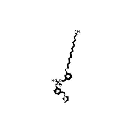 CCCCCCCCCCCCCCOc1cccc(COP(=O)(O)Oc2cccc(CN3C=CSC3)c2)c1